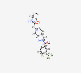 CCC(C)(C)NC(=O)CN1CCC(CNC(=O)c2ccc(F)c(C(F)F)c2)CC1